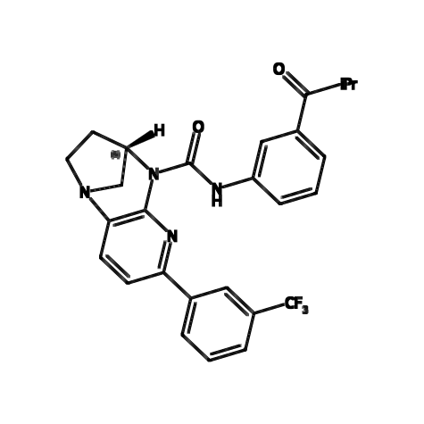 CC(C)C(=O)c1cccc(NC(=O)N2c3nc(-c4cccc(C(F)(F)F)c4)ccc3N3CC[C@H]2C3)c1